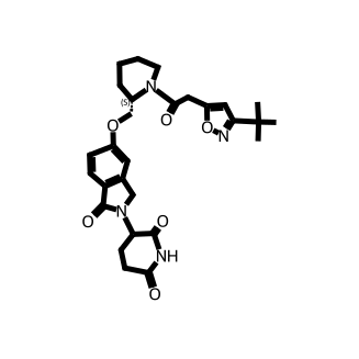 CC(C)(C)c1cc(CC(=O)N2CCCC[C@H]2COc2ccc3c(c2)CN(C2CCC(=O)NC2=O)C3=O)on1